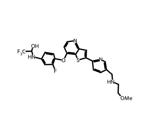 COCCNCc1ccc(-c2cc3nccc(Oc4ccc(NC(O)C(F)(F)F)cc4F)c3s2)nc1